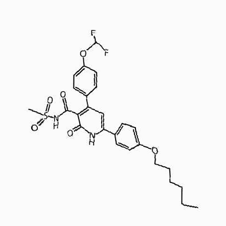 CCCCCCOc1ccc(-c2cc(-c3ccc(OC(F)F)cc3)c(C(=O)NS(C)(=O)=O)c(=O)[nH]2)cc1